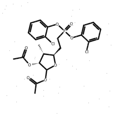 CC(=O)OC1O[C@H](CCP(=O)(Oc2ccccc2Cl)Oc2ccccc2Cl)[C@@H](C)[C@H]1OC(C)=O